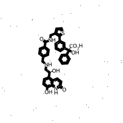 O=C(NCc1ccsc1-c1cccc([C@](O)(C(=O)O)c2ccccc2)c1)c1ccc(CNC[C@H](O)c2ccc(O)c3[nH]c(=O)ccc23)cc1